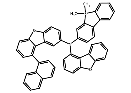 CS1(C)c2ccccc2-c2ccc(N(c3ccc4sc5cccc(-c6cccc7ccccc67)c5c4c3)c3cccc4oc5ccccc5c34)cc21